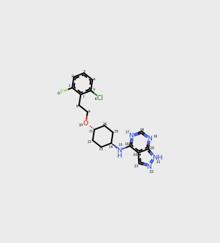 Fc1cccc(Cl)c1CCO[C@H]1CC[C@H](Nc2ncnc3[nH]ncc23)CC1